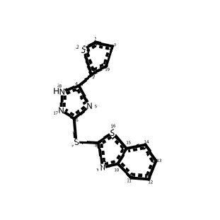 c1csc(-c2nc(Sc3nc4ccccc4s3)n[nH]2)c1